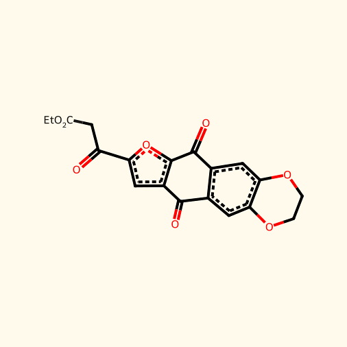 CCOC(=O)CC(=O)c1cc2c(o1)C(=O)c1cc3c(cc1C2=O)OCCO3